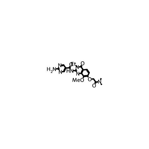 CCn1c(NC(=O)c2cnc(N)nc2)nc2c(OC)c(OCC(=O)N(C)C)ccc2c1=O